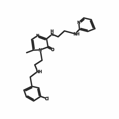 Cc1cnc(NCCNc2ccccn2)c(=O)n1CCNCc1cccc(Cl)c1